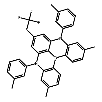 Cc1cccc(N2c3cc(C)ccc3B3c4ccc(C)cc4N(c4cccc(C)c4)c4cc(SC(F)(F)F)cc2c43)c1